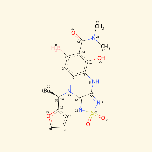 Bc1ccc(NC2=NS(=O)(=O)N=C2N[C@@H](c2ccco2)C(C)(C)C)c(O)c1C(=O)N(C)C